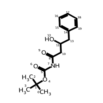 CC(C)(C)OC(=O)NC(=O)CC(O)Cc1ccccc1